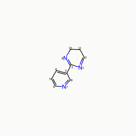 C1=NC(c2cccnc2)=NCC1